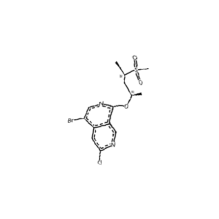 C[C@H](C[C@@H](C)S(C)(=O)=O)Oc1ncc(Br)c2cc(Cl)ncc12